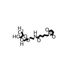 CCC(CO)OC(CO)OCCNC(=O)CCCCN1C(=O)C=CC1=O